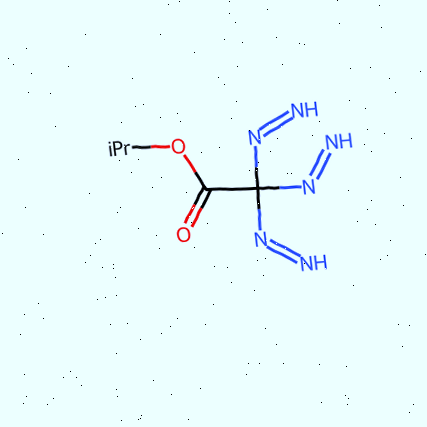 CC(C)OC(=O)C(N=N)(N=N)N=N